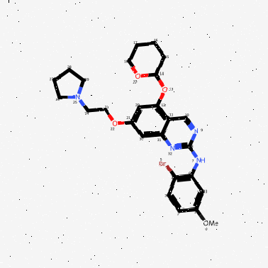 COc1ccc(Br)c(Nc2ncc3c(OC4CCCCO4)cc(OCCN4CCCC4)cc3n2)c1